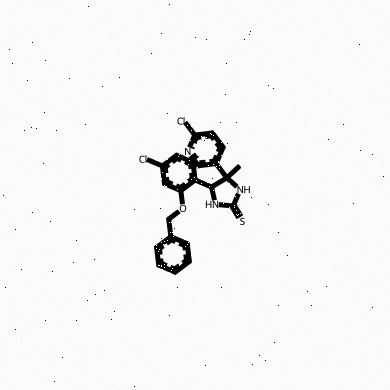 CC1(c2ccc(Cl)nc2)NC(=S)NC1c1ccc(Cl)cc1OCc1ccccc1